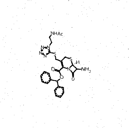 CC(=O)NCCn1nnnc1SCC1=C(C(=O)OC(c2ccccc2)c2ccccc2)N2C(=O)C(N)[C@@H]2SC1